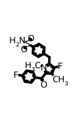 Cc1c(F)c(Cc2ccc(S(N)(=O)=O)cc2)n(C)c1C(=O)c1ccc(F)cc1